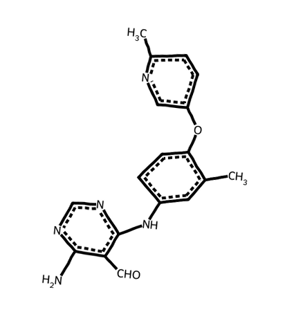 Cc1ccc(Oc2ccc(Nc3ncnc(N)c3C=O)cc2C)cn1